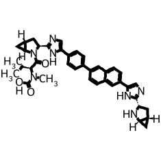 CC(C)[C@@H](C(=O)N1[C@@H]2C[C@@H]2C[C@H]1c1ncc(-c2ccc(-c3ccc4cc(-c5cnc([C@@H]6C[C@@H]7C[C@H]7N6)[nH]5)ccc4c3)cc2)[nH]1)N(C)C(=O)O